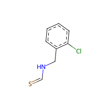 S=CNCc1ccccc1Cl